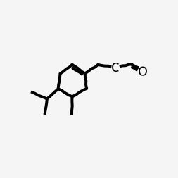 CC(C)C1CC=C(CCC=O)CC1C